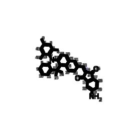 Cc1cc(C)c(N2c3ccccc3C(C)(C)c3c2ccc2cc(/C=C4/C(=O)c5ccc(N)cc5C4=O)ccc32)c(C)c1